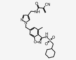 C=C(C#N)C(=O)NCc1cnn(Cc2cc(C)c3c(NS(=O)(=O)CC4CCCCC4)noc3c2)c1